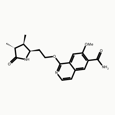 COc1cc2c(OCC[C@H]3NC(=O)[C@H](C)[C@H]3C)nccc2cc1C(N)=O